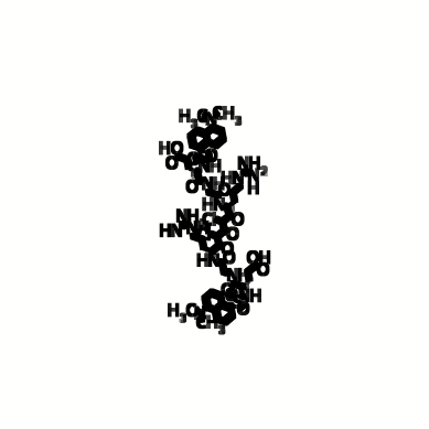 CN(C)c1cccc2c(S(=O)(=O)N[C@@H](CCC(=O)O)C(=O)NCC(=O)N[C@@H](CCCNC(=N)N)C(=O)C(Cl)C(=O)C(Cl)C(=O)[C@H](CCCNC(=N)N)NC(=O)CNC(=O)[C@H](CCC(=O)O)NS(=O)(=O)c3cccc4c(N(C)C)cccc34)cccc12